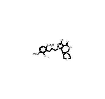 CCc1nn(CCCc2c(C(=O)O)ccc(OC)c2C)c2c1C(=O)NCC1(CCOCC1)C2